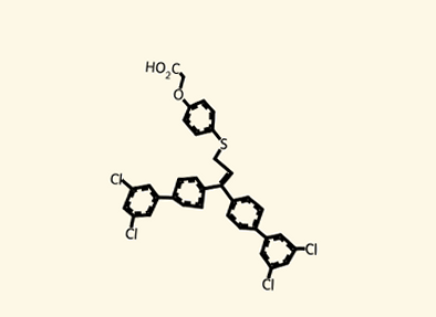 O=C(O)COc1ccc(SCC=C(c2ccc(-c3cc(Cl)cc(Cl)c3)cc2)c2ccc(-c3cc(Cl)cc(Cl)c3)cc2)cc1